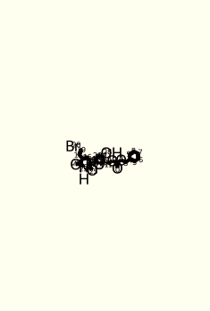 O=C(OCc1ccccc1)OC[C@H]1O[C@@H](n2cc(C=CBr)c(=O)[nH]c2=O)C[C@@H]1O